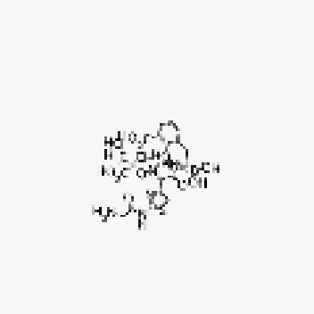 CC(C)(ON=C(C(=O)N[C@@H](Cc1cccc(C(=O)O)c1O)B(O)O)c1csc(NC(=O)CN)n1)C(=O)O.Cl